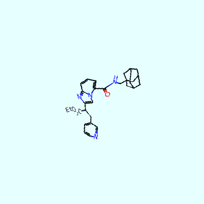 CCOC(=O)C(Cc1cccnc1)c1cn2c(C(=O)NCC34CC5CC(CC(C5)C3)C4)cccc2n1